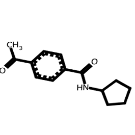 CC(=O)c1ccc(C(=O)NC2CCCC2)cc1